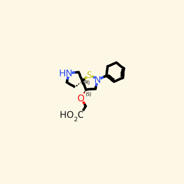 O=C(O)CO[C@H]1CN(C2=CC=CCC2)S[C@@]12CCNC2